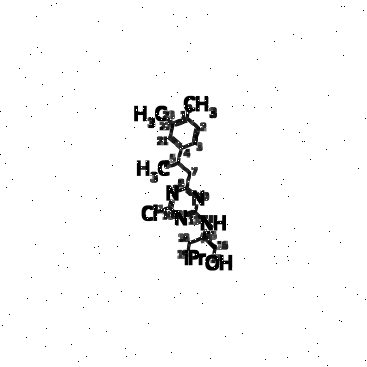 Cc1ccc(C(C)Cc2nc(Cl)nc(N[C@@H](CO)CC(C)C)n2)cc1C